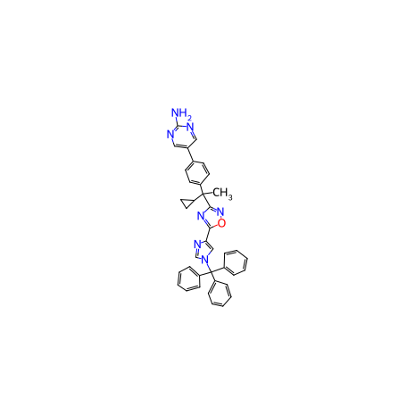 CC(c1ccc(-c2cnc(N)nc2)cc1)(c1noc(-c2cn(C(c3ccccc3)(c3ccccc3)c3ccccc3)cn2)n1)C1CC1